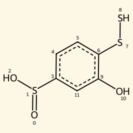 O=S(O)c1ccc(SS)c(O)c1